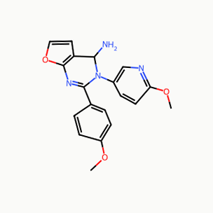 COc1ccc(C2=Nc3occc3C(N)N2c2ccc(OC)nc2)cc1